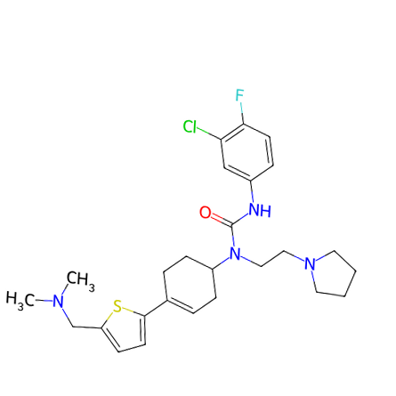 CN(C)Cc1ccc(C2=CCC(N(CCN3CCCC3)C(=O)Nc3ccc(F)c(Cl)c3)CC2)s1